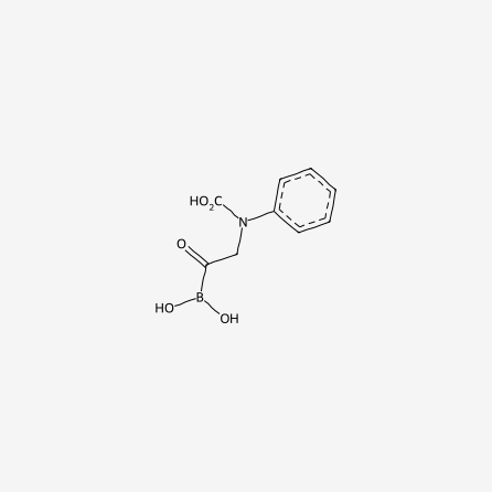 O=C(CN(C(=O)O)c1ccccc1)B(O)O